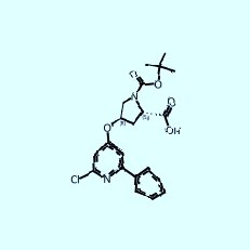 CC(C)(C)OC(=O)N1C[C@H](Oc2cc(Cl)nc(-c3ccccc3)c2)C[C@H]1C(=O)O